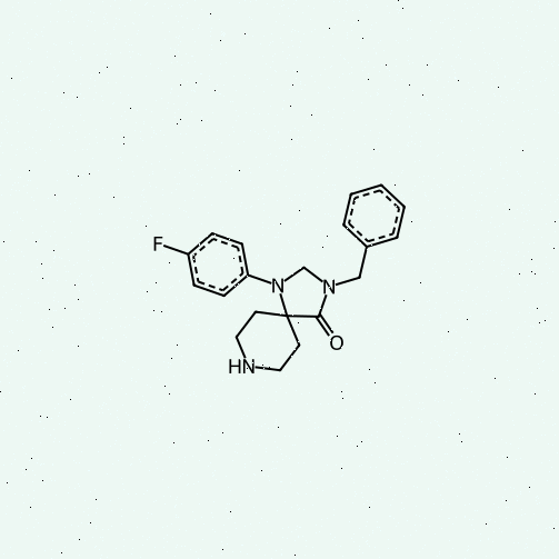 O=C1N(Cc2ccccc2)CN(c2ccc(F)cc2)C12CCNCC2